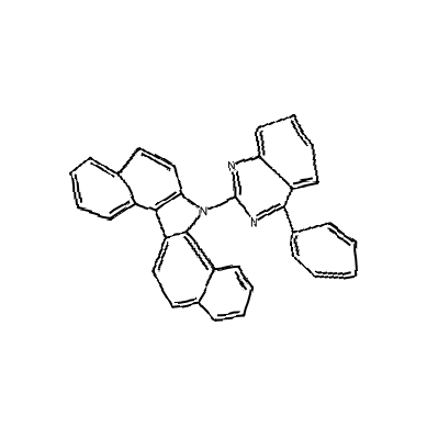 c1ccc(-c2nc(-n3c4ccc5ccccc5c4c4ccc5ccccc5c43)nc3ccccc23)cc1